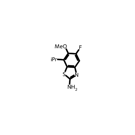 COc1c(F)cc2nc(N)sc2c1C(C)C